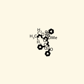 C=C(C)C(=C)C(=O)C[C@@H]1O[C@H](CC(COC(=O)c2ccccc2)OC(=O)c2ccccc2)[C@H](OC)[C@H]1CS(=O)(=O)c1ccccc1